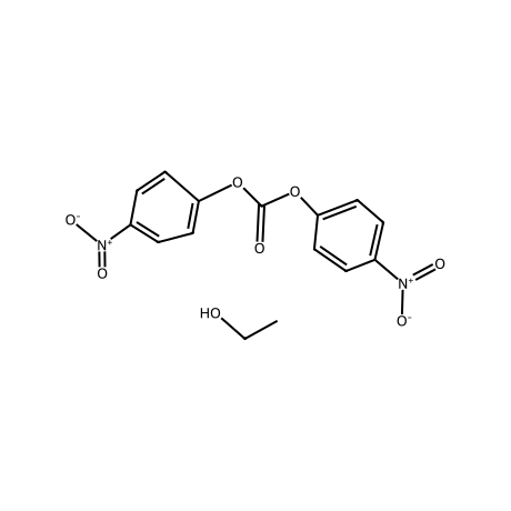 CCO.O=C(Oc1ccc([N+](=O)[O-])cc1)Oc1ccc([N+](=O)[O-])cc1